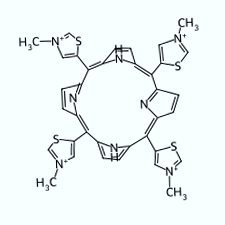 C[n+]1csc(-c2c3nc(c(-c4c[n+](C)cs4)c4ccc([nH]4)c(-c4c[n+](C)cs4)c4nc(c(-c5c[n+](C)cs5)c5ccc2[nH]5)C=C4)C=C3)c1